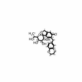 C[C@@H](O)[C@H]1O[C@]2(OCc3cc(Cl)c(Cc4ccc5c(c4)OCCO5)cc32)[C@H](O)[C@@H](O)[C@@H]1O